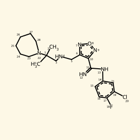 CC(C)(CNCc1nonc1C(=N)Nc1ccc(F)c(Cl)c1)N1CCCCCC1